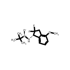 COc1cccc2c1CC(F)(F)[C@H]2N[S@+]([O-])C(C)(C)C